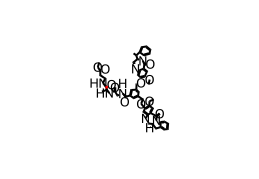 COC(=O)CCNC(=O)C(C)NC(=O)CNC(=O)c1cc(COc2cc3c(cc2OC)C(=O)N2c4ccccc4C(C)C2C=N3)cc(COc2cc3c(cc2OC)C(=O)N2c4ccccc4C[C@H]2C=N3)c1